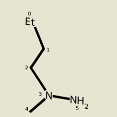 CCCCN(C)N